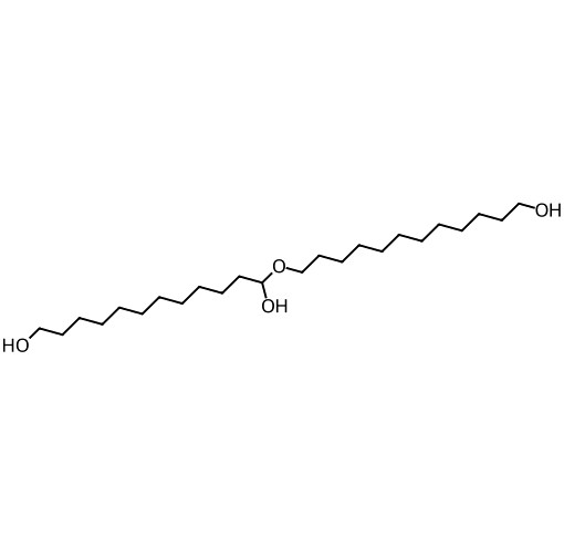 OCCCCCCCCCCCCOC(O)CCCCCCCCCCCO